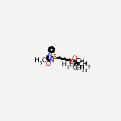 Cc1cn(-c2ccccc2)c(SCCCCCCOC(=O)C(C)(C(C)C)C(C)C)nc1=O